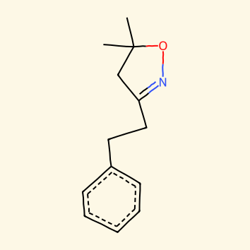 CC1(C)CC(CCc2ccccc2)=NO1